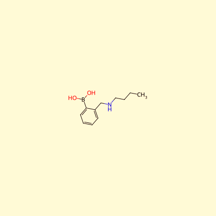 CCCCNCc1ccccc1B(O)O